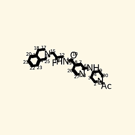 CC(=O)N1CCC(Nc2cc(C(=O)NCC(F)CN3CCc4ccccc4C3)ccn2)CC1